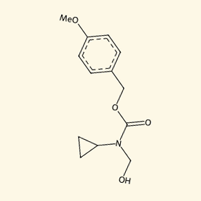 COc1ccc(COC(=O)N(CO)C2CC2)cc1